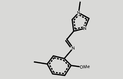 COc1ccc(C)cc1N=Cc1cn(C)cn1